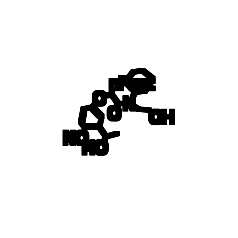 CCCCCC(Oc1ccc([N+](=O)[O-])c(C(C)O)c1)C(=O)N(CCO)C1CCCCC1